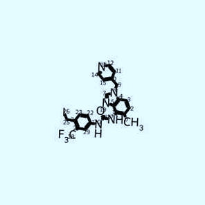 Cc1ccc2c(ncn2Cc2ccncc2)c1NC(=O)Nc1ccc(CI)c(C(F)(F)F)c1